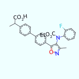 CCOC(=O)N(c1ccccc1F)c1c(C)noc1-c1ccc(-c2ccc(C(C)C(=O)O)cc2)cc1